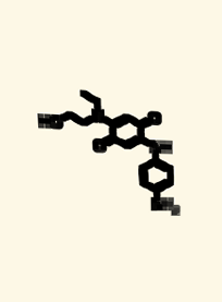 CCN(CCO)C1=CC(=O)C(Nc2ccc(N)cc2)=CC1=O